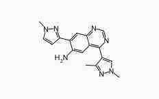 Cc1nn(C)cc1-c1ncnc2cc(-c3ccn(C)n3)c(N)cc12